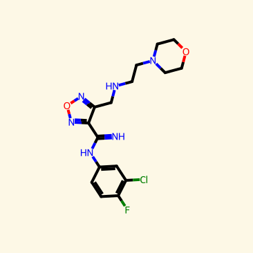 N=C(Nc1ccc(F)c(Cl)c1)c1nonc1CNCCN1CCOCC1